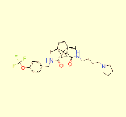 O=C(NCCCCN1CCCC1)[C@H]1[C@H](C(=O)NCc2ccc(OC(F)(F)F)cc2)[C@@H]2C=C[C@H]1C21CC1